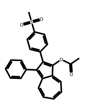 CC(=O)Oc1c2cccccc-2c(-c2ccccc2)c1-c1ccc(S(C)(=O)=O)cc1